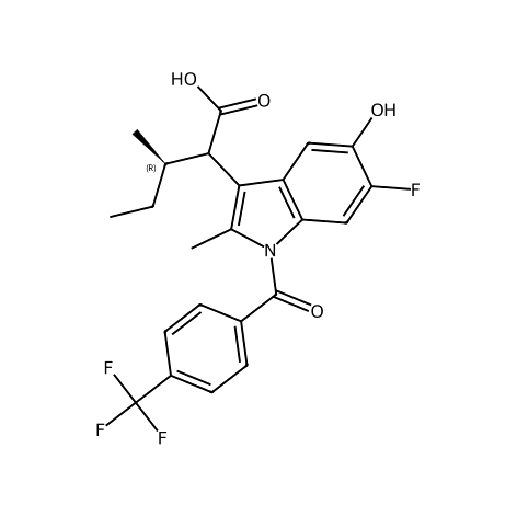 CC[C@@H](C)C(C(=O)O)c1c(C)n(C(=O)c2ccc(C(F)(F)F)cc2)c2cc(F)c(O)cc12